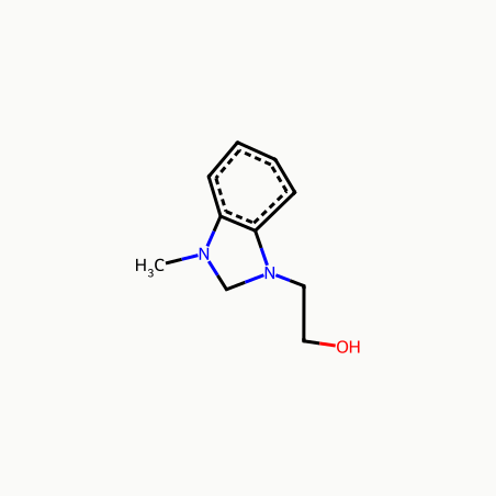 CN1CN(CCO)c2ccccc21